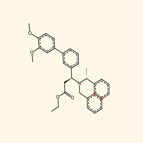 CCOC(=O)C[C@@H](c1cccc(-c2ccc(OC)c(OC)c2)c1)N(Cc1ccccc1)[C@H](C)c1ccccc1